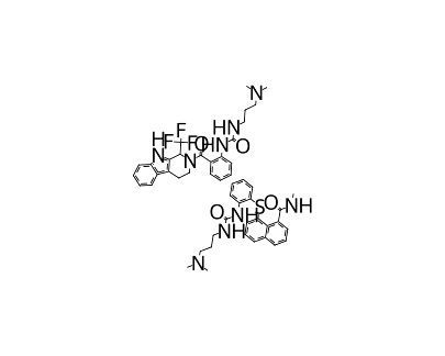 CN(C)CCCNC(=O)Nc1ccccc1C(=O)N1CCc2c([nH]c3ccccc23)C1C(F)(F)F.CNC(=O)c1cccc2cccc(Sc3ccccc3NC(=O)NCCCN(C)C)c12